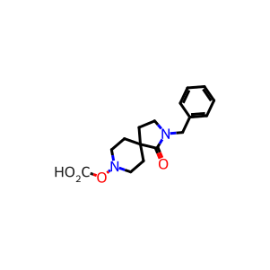 O=C(O)ON1CCC2(CC1)CCN(Cc1ccccc1)C2=O